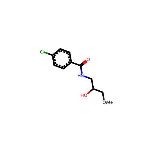 COCC(O)CNC(=O)c1ccc(Cl)cc1